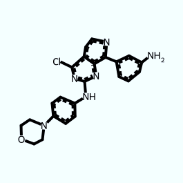 Nc1cccc(-c2nccc3c(Cl)nc(Nc4ccc(N5CCOCC5)cc4)nc23)c1